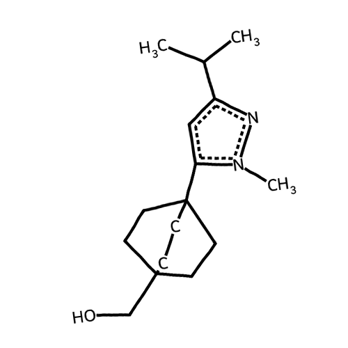 CC(C)c1cc(C23CCC(CO)(CC2)CC3)n(C)n1